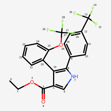 CCOC(=O)c1c[nH]c(-c2ccc(C(F)(F)F)cc2)c1-c1ccccc1OC(F)(F)F